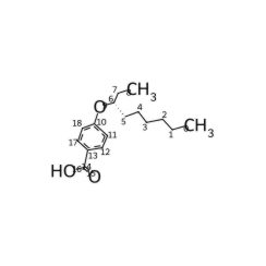 CCCCCC[C@@H](CC)Oc1ccc(C(=O)O)cc1